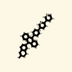 CC1=Cc2ccc(-c3c4ccccc4c(-c4ccc(-c5ccc(-c6cccnc6)nc5)cc4)c4ccccc34)cc2CC1